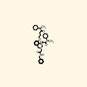 CN(C(=O)CCCOc1cccc2c1N(NC(=O)N(C)C1CCCCC1)CN(CC(=O)NCc1ccccc1)C2)C1CCCCC1